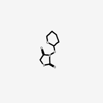 O=C1CSC(=O)N1OC1CCCCO1